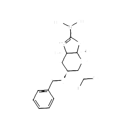 CN(C)C1=N[C@@H]2C[C@H](OCc3ccccc3)[C@@H](C(F)F)O[C@@H]2S1